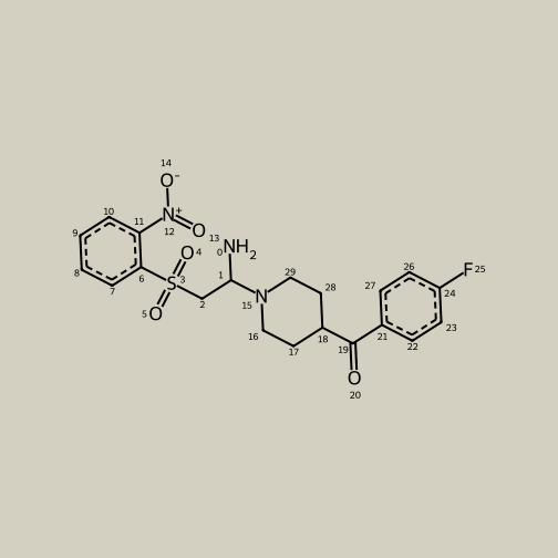 NC(CS(=O)(=O)c1ccccc1[N+](=O)[O-])N1CCC(C(=O)c2ccc(F)cc2)CC1